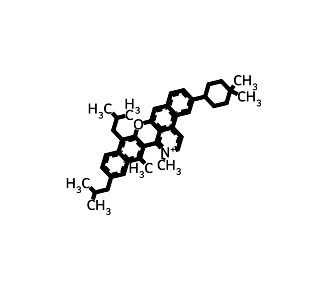 Cc1c2c(c(CC(C)C)c3ccc(CC(C)C)cc13)Oc1cc3ccc(C4CCC(C)(C)CC4)cc3c3cc[n+](C)c-2c13